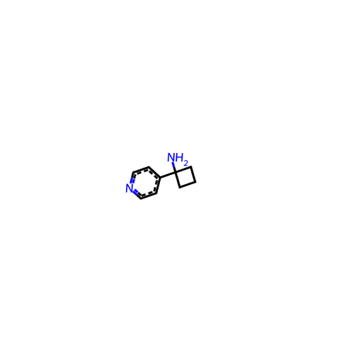 NC1(c2ccncc2)CCC1